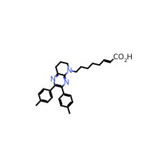 Cc1ccc(-c2nc3c(nc2-c2ccc(C)cc2)N(CCCCC/C=C/C(=O)O)CCC3)cc1